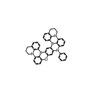 c1ccc(N2c3cc4c(cc3B3c5cccc6c5N(CCC6)c5cccc2c53)B2c3cccc5c3N(CCC5)c3cccc(c32)O4)cc1